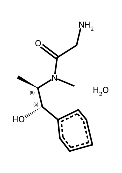 C[C@H]([C@@H](O)c1ccccc1)N(C)C(=O)CN.O